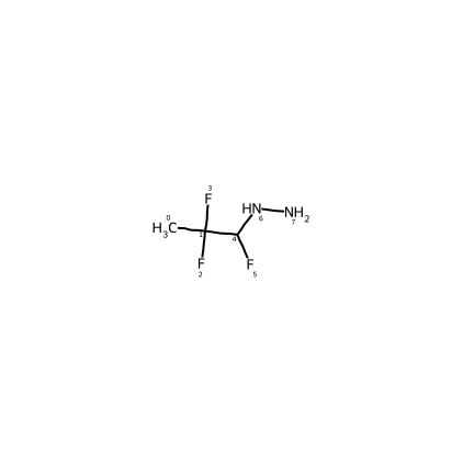 CC(F)(F)C(F)NN